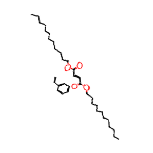 C=Cc1ccccc1.CCCCCCCCCCCCOC(=O)C=CC(=O)OCCCCCCCCCCCC